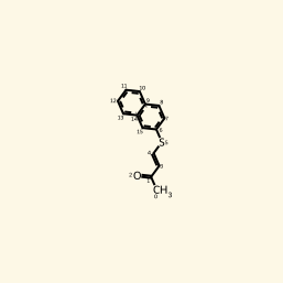 CC(=O)/C=C/Sc1ccc2ccccc2c1